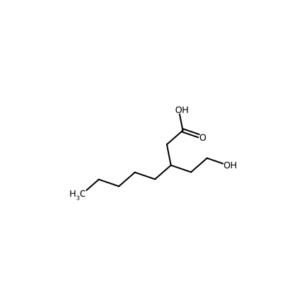 CCCCCC(CCO)CC(=O)O